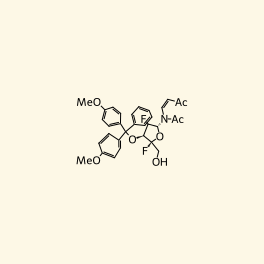 COc1ccc(C(O[C@H]2[C@@H](F)[C@H](N(/C=C\C(C)=O)C(C)=O)O[C@]2(F)CO)(c2ccccc2)c2ccc(OC)cc2)cc1